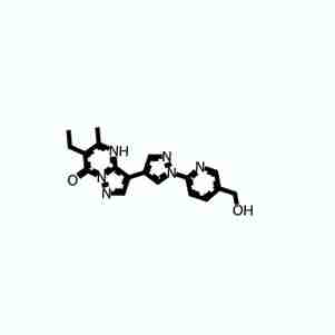 CCc1c(C)[nH]c2c(-c3cnn(-c4ccc(CO)cn4)c3)cnn2c1=O